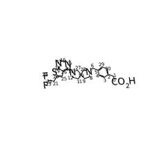 O=C(O)Cc1ccc(CN2CCC3(CCN(c4ncnc5sc(CC(F)F)cc45)C3)C2)cc1